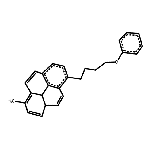 N#CC1=C2C=Cc3ccc(CCCCOc4ccccc4)c4c3C2C(C=C1)C=C4